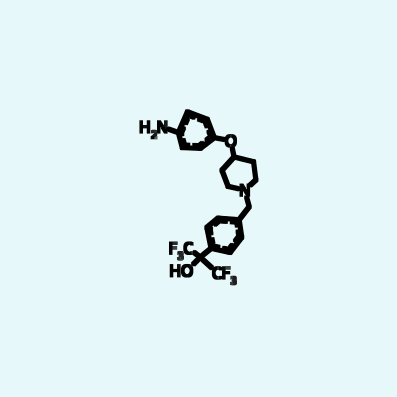 Nc1ccc(OC2CCN(Cc3ccc(C(O)(C(F)(F)F)C(F)(F)F)cc3)CC2)cc1